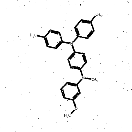 COc1cccc(N(C)c2ccc(N(c3ccc(C)cc3)c3ccc(C)cc3)cc2)c1